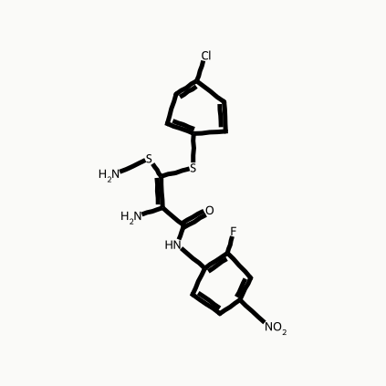 NS/C(Sc1ccc(Cl)cc1)=C(\N)C(=O)Nc1ccc([N+](=O)[O-])cc1F